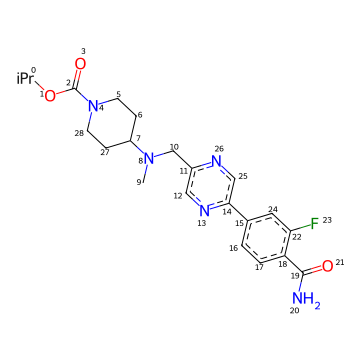 CC(C)OC(=O)N1CCC(N(C)Cc2cnc(-c3ccc(C(N)=O)c(F)c3)cn2)CC1